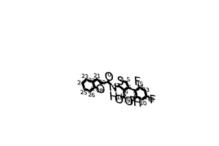 O=C(Nc1scc(-c2c(F)cc(F)cc2F)c1C(=O)O)c1cc2ccccc2o1